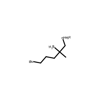 BC(C)(CCCCCCCC)CCCC(C)CC